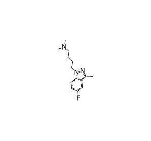 Cc1nn(CCCCN(C)C)c2ccc(F)cc12